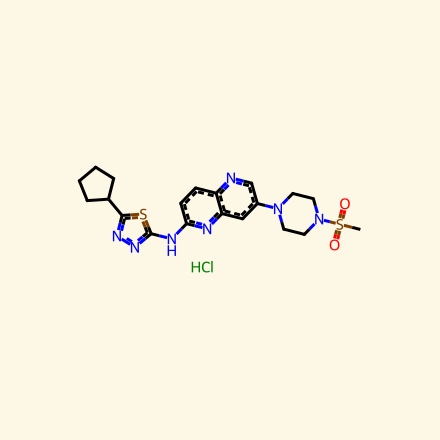 CS(=O)(=O)N1CCN(c2cnc3ccc(Nc4nnc(C5CCCC5)s4)nc3c2)CC1.Cl